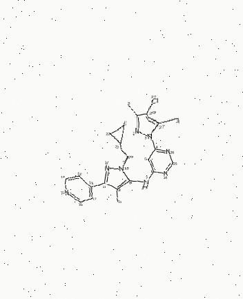 Cc1nn(-c2cc(Nc3c(C)c(-c4ccncc4)nn3CC3CC3)ncn2)c(C)c1Cl